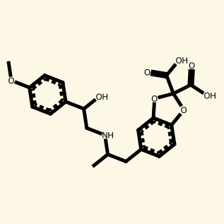 COc1ccc(C(O)CNC(C)Cc2ccc3c(c2)OC(C(=O)O)(C(=O)O)O3)cc1